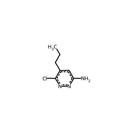 CCCc1cc(N)nnc1Cl